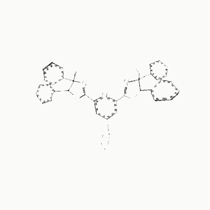 CC1(c2ccccc2)N=C(c2cccc(C3=NC(C)(c4ccccc4)C(c4ccccc4)O3)n2)OC1c1ccccc1.[Cl-].[Cl-].[Cl-].[Co+3]